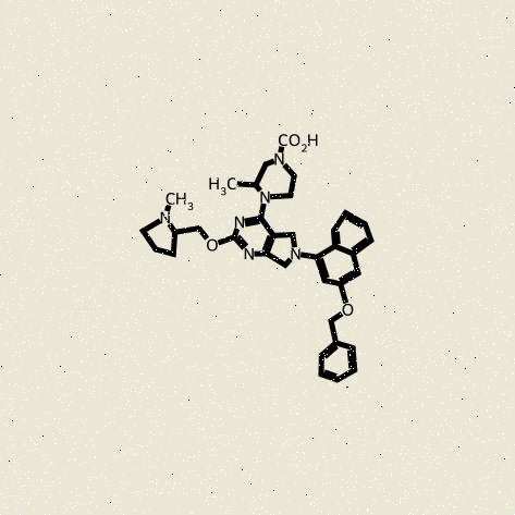 CC1CN(C(=O)O)CCN1c1nc(OCC2CCCN2C)nc2c1CN(c1cc(OCc3ccccc3)cc3ccccc13)C2